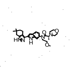 COCCN(C(=O)[C@H](C)N1CCOCC1)c1ccc2cc(-c3n[nH]c4c3CCC(C)(C)C4)[nH]c2c1